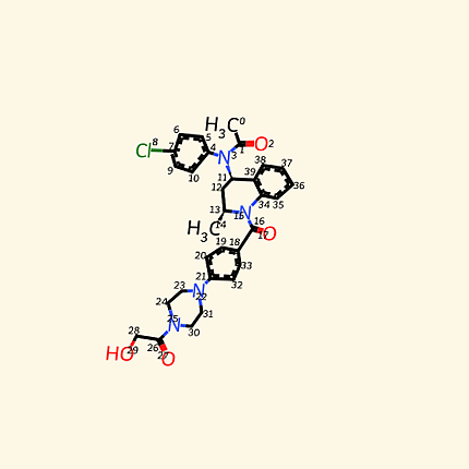 CC(=O)N(c1ccc(Cl)cc1)[C@@H]1C[C@H](C)N(C(=O)c2ccc(N3CCN(C(=O)CO)CC3)cc2)c2ccccc21